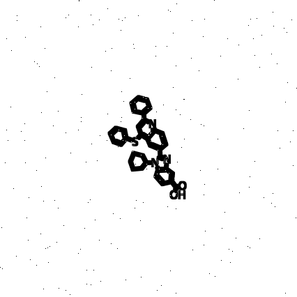 O=C(O)c1ccc2c(c1)nc(-c1ccc3nc(-c4ccccc4)cc(Sc4ccccc4)c3c1)n2C1CCCCC1